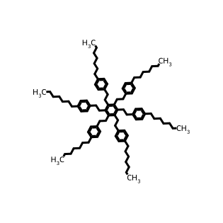 CCCCCCCc1ccc(CCc2c(CCc3ccc(CCCCCCC)cc3)c(CCc3ccc(CCCCCCC)cc3)c(CCc3ccc(CCCCCCC)cc3)c(CCc3ccc(CCCCCCC)cc3)c2CCc2ccc(CCCCCCC)cc2)cc1